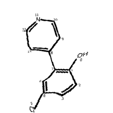 Oc1ccc(Cl)cc1-c1ccncc1